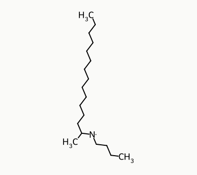 CCCCCCCCCCCCCC(C)[N]CCCC